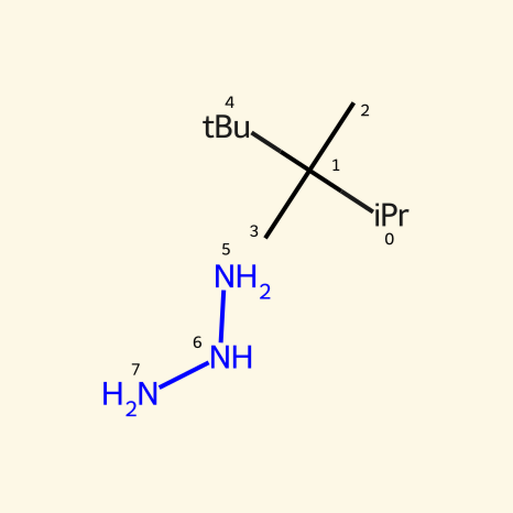 CC(C)C(C)(C)C(C)(C)C.NNN